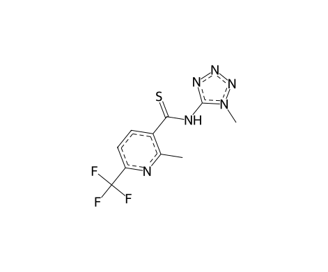 Cc1nc(C(F)(F)F)ccc1C(=S)Nc1nnnn1C